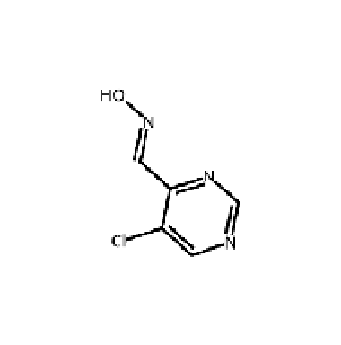 ON=Cc1ncncc1Cl